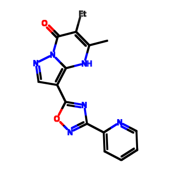 CCc1c(C)[nH]c2c(-c3nc(-c4ccccn4)no3)cnn2c1=O